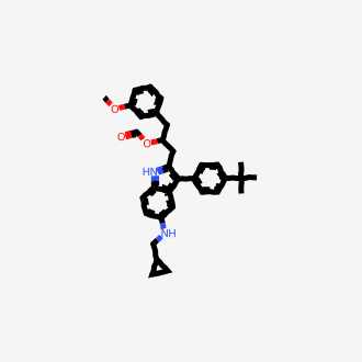 COc1cccc(CC(Cc2[nH]c3ccc(NCC4CC4)cc3c2-c2ccc(C(C)(C)C)cc2)OC=O)c1